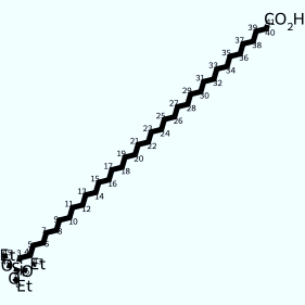 CCO[Si](CCCCCCCCCCCCCCCCCCCCCCCCCCCCCCCCCCCCCCC(=O)O)(OCC)OCC